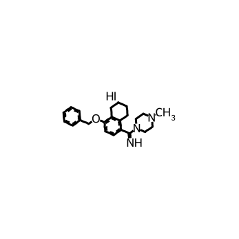 CN1CCN(C(=N)c2ccc(OCc3ccccc3)c3c2CCCC3)CC1.I